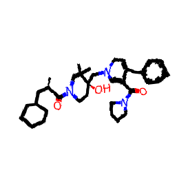 C[C@H](CC1CCCCC1)C(=O)N1CC[C@@](O)(CN2C=C(C(=O)N3CCCC3)C(c3ccccc3)=CC2)C(C)(C)C1